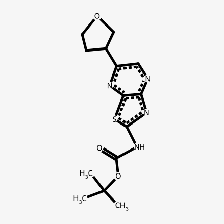 CC(C)(C)OC(=O)Nc1nc2ncc(C3CCOC3)nc2s1